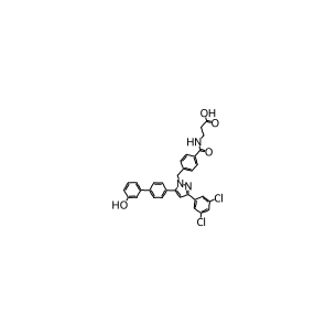 O=C(O)CCNC(=O)c1ccc(Cn2nc(-c3cc(Cl)cc(Cl)c3)cc2-c2ccc(-c3cccc(O)c3)cc2)cc1